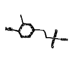 CNS(=O)(=O)CCc1ccc(NC(C)=O)c(C)c1